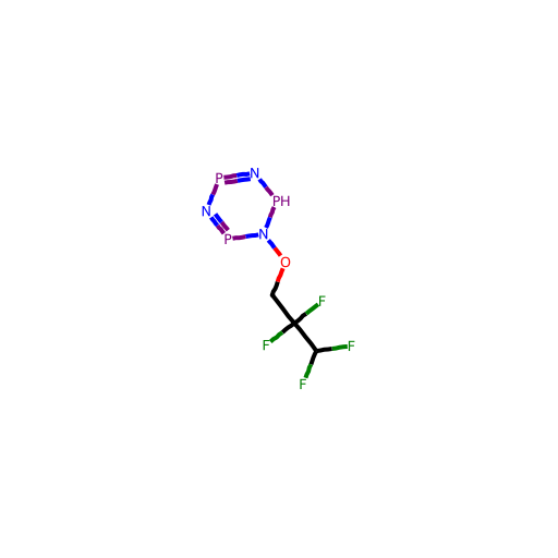 FC(F)C(F)(F)CON1P=NP=NP1